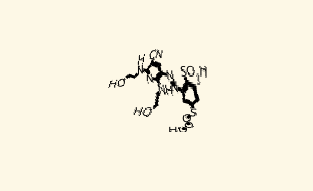 N#Cc1cc(/N=N/c2cc(SOOO)ccc2S(=O)(=O)O)c(NCCO)nc1NCCO